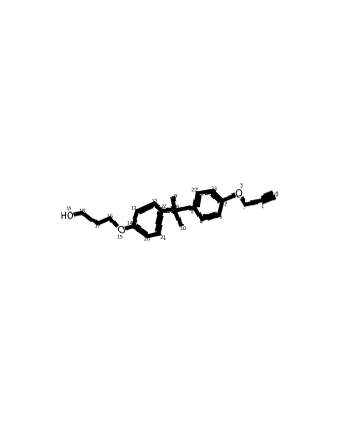 C#CCOc1ccc(C(C)(C)c2ccc(OCCCO)cc2)cc1